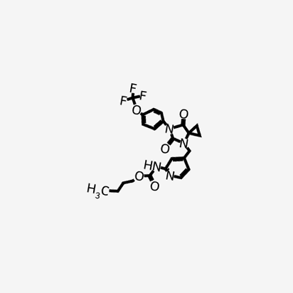 CCCCOC(=O)Nc1cc(CN2C(=O)N(c3ccc(OC(F)(F)F)cc3)C(=O)C23CC3)ccn1